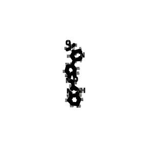 CP(C)(=O)c1cncc(-c2ccc3nc(-c4nc5ccccc5[nH]4)oc3c2)c1